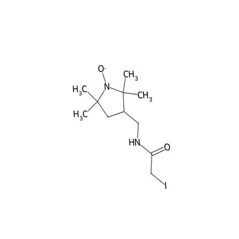 CC1(C)CC(CNC(=O)CI)C(C)(C)N1[O]